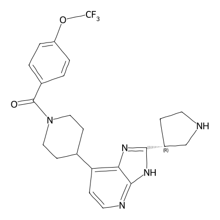 O=C(c1ccc(OC(F)(F)F)cc1)N1CCC(c2ccnc3[nH]c([C@@H]4CCNC4)nc23)CC1